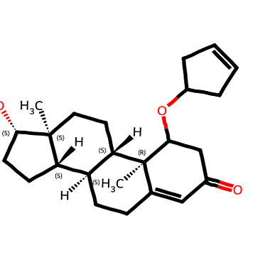 C[C@]12CC[C@H]3[C@@H](CCC4=CC(=O)CC(OC5CC=CC5)[C@@]43C)[C@@H]1CC[C@@H]2O